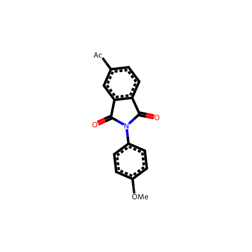 COc1ccc(N2C(=O)c3ccc(C(C)=O)cc3C2=O)cc1